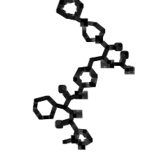 CCC(=O)NC(Cc1ccc(NC(=O)C(NC(=O)c2ccnn2C)C2CCCCC2)cc1)C(=O)N1CCN(c2ccccc2)CC1